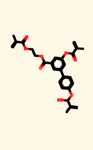 C=C(C)C(=O)OCCOC(=O)c1cc(OC(=O)C(=C)C)cc(-c2ccc(OC(O)C(=C)C)cc2)c1